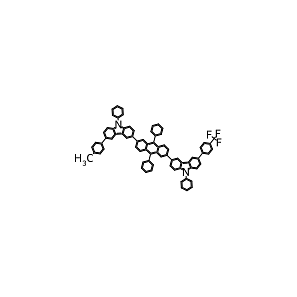 Cc1ccc(-c2ccc3c(c2)c2cc(-c4ccc5c(-c6ccccc6)c6cc(-c7ccc8c(c7)c7cc(-c9ccc(C(F)(F)F)cc9)ccc7n8-c7ccccc7)ccc6c(-c6ccccc6)c5c4)ccc2n3-c2ccccc2)cc1